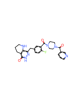 O=C(c1cccnc1)N1CCN(C(=O)c2cc(Cc3n[nH]c(=O)c4c3NCCC4)ccc2F)CC1